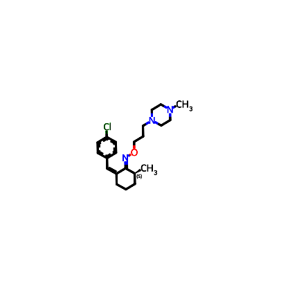 C[C@H]1CCCC(=Cc2ccc(Cl)cc2)C1=NOCCCN1CCN(C)CC1